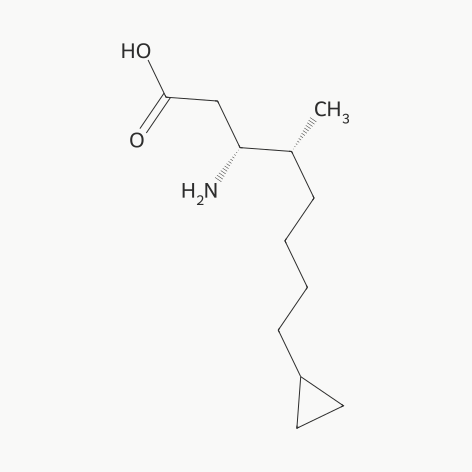 C[C@H](CCCCC1CC1)[C@H](N)CC(=O)O